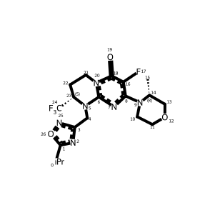 CC(C)c1nc(CN2c3nc(N4CCOC[C@H]4C)c(F)c(=O)n3CC[C@H]2C(F)(F)F)no1